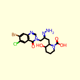 NN=C(CC1C(O)CCCN1C(=O)O)Cn1cnc2cc(Br)c(Cl)cc2c1=O